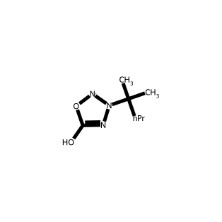 CCCC(C)(C)N1[N]OC(O)=N1